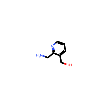 NCc1ncccc1CO